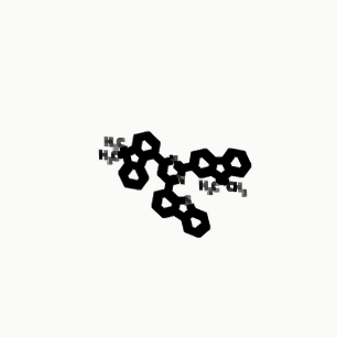 CC1(C)c2ccccc2-c2ccc(-c3nc(-c4cccc5c4-c4ccccc4C5(C)C)cc(-c4cccc5c4sc4ccccc45)n3)cc21